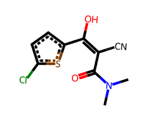 CN(C)C(=O)C(C#N)=C(O)c1ccc(Cl)s1